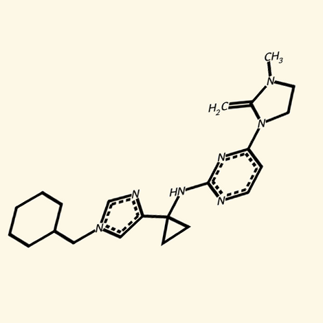 C=C1N(C)CCN1c1ccnc(NC2(c3cn(CC4CCCCC4)cn3)CC2)n1